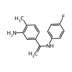 C=C(Nc1ccc(F)cc1)c1ccc(C)c(N)c1